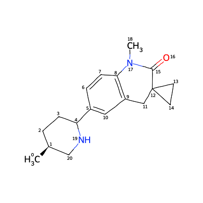 C[C@H]1CCC(c2ccc3c(c2)CC2(CC2)C(=O)N3C)NC1